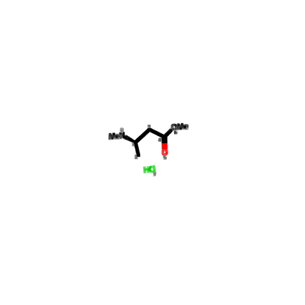 CN[C@H](C)CC(=O)OC.Cl